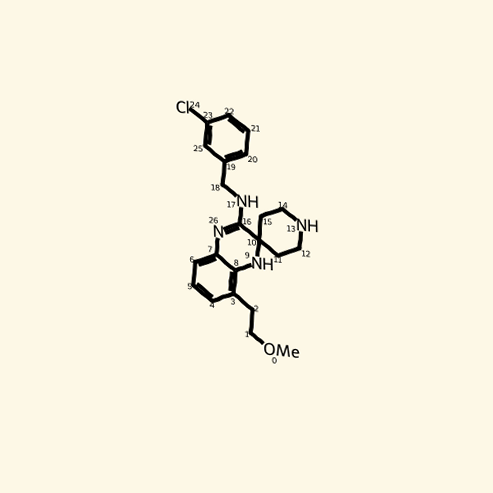 COCCc1cccc2c1NC1(CCNCC1)C(NCc1cccc(Cl)c1)=N2